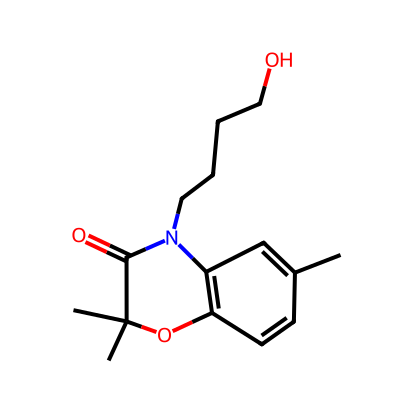 Cc1ccc2c(c1)N(CCCCO)C(=O)C(C)(C)O2